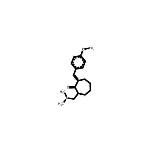 COc1ccc(/C=C2\CCCCC(CN(C)C)C2=O)cc1